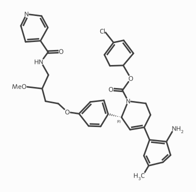 COC(CCOc1ccc([C@H]2C=C(c3cc(C)ccc3N)CCN2C(=O)OC2C=CC(Cl)=CC2)cc1)CNC(=O)c1ccncc1